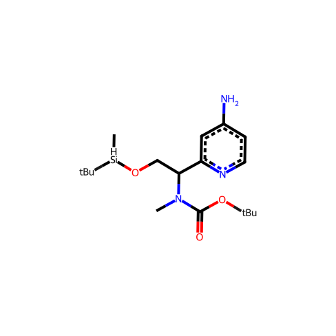 CN(C(=O)OC(C)(C)C)C(CO[SiH](C)C(C)(C)C)c1cc(N)ccn1